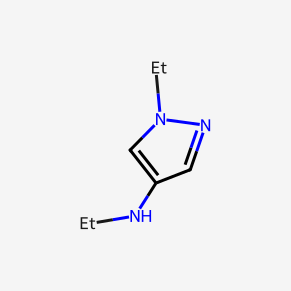 CCNc1cnn(CC)c1